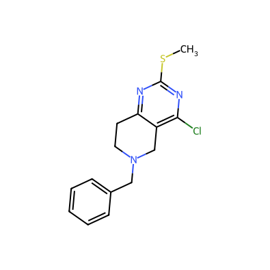 CSc1nc(Cl)c2c(n1)CCN(Cc1ccccc1)C2